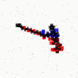 C#CCOCCOCCOCCOCCNC(=O)C1CN(c2nc(NC3CCCC3)c3cnn([C@@H]4O[C@H](COP(=O)(O)CP(=O)(O)O)[C@@H](O)[C@H]4O)c3n2)C1